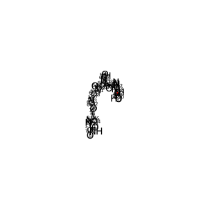 Cn1nc(C2CCC(=O)NC2=O)c2cccc(C#CCOC3CCN(C[C@H]4CC[C@H](N5Cc6cc(NC(=O)c7cnn8ccc(N9C[C@H]%10C[C@@H]9CO%10)nc78)c(N7CCOCC7)cc6C5=O)CC4)CC3)c21